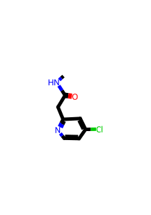 CNC(=O)Cc1cc(Cl)ccn1